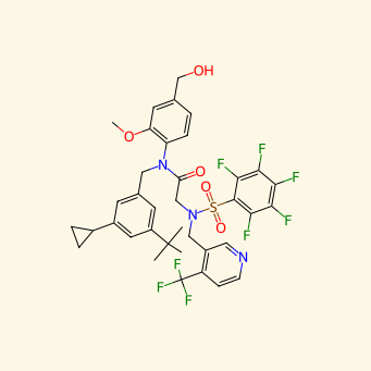 COc1cc(CO)ccc1N(Cc1cc(C2CC2)cc(C(C)(C)C)c1)C(=O)CN(Cc1cnccc1C(F)(F)F)S(=O)(=O)c1c(F)c(F)c(F)c(F)c1F